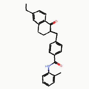 CCc1ccc2c(c1)CCC(Cc1ccc(C(=O)Nc3ccccc3C)cc1)C2=O